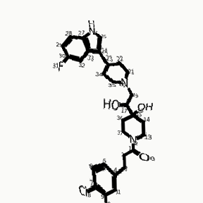 O=C(CCc1ccc(Cl)c(Cl)c1)N1CCC(O)(C(O)CN2CCC(c3c[nH]c4ccc(F)cc34)CC2)CC1